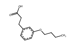 CCCCOc1cccc(CCC(=O)O)c1